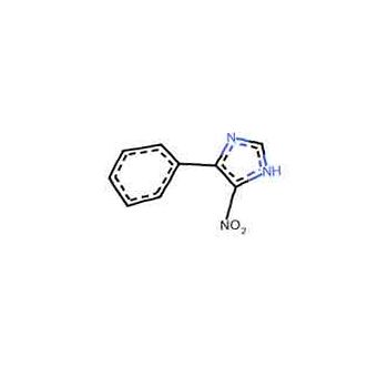 O=[N+]([O-])c1[nH]cnc1-c1ccccc1